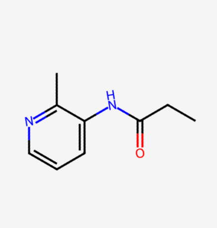 CCC(=O)Nc1cccnc1C